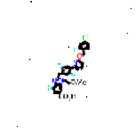 COCCn1c(Cc2cc(F)c(-c3cccc(OCc4ccc(Cl)cc4F)n3)cc2F)nc2c(F)cc(C(=O)O)cc21